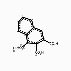 O=C(O)c1cc2ccccc2c(C(=O)O)c1C(=O)O.[Fr]